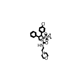 CN(C)S(=O)(=O)N1C(c2ccc(Cl)cc2)C(c2ccccc2)CN1C(=O)NCCN1CCOCC1